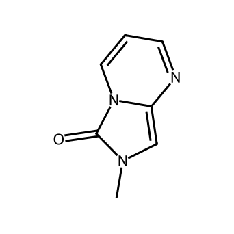 Cn1cc2ncccn2c1=O